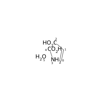 C=CC(=O)O.NC(=O)O.O